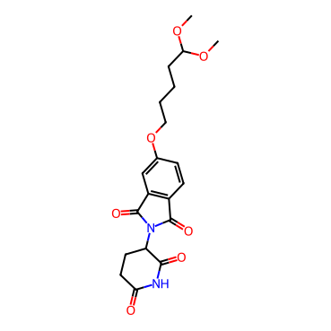 COC(CCCCOc1ccc2c(c1)C(=O)N(C1CCC(=O)NC1=O)C2=O)OC